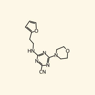 N#Cc1nc(NCCc2ccco2)nc(N2CCOCC2)n1